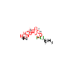 Cl.O.O.O.O.O.O.[BiH3].[Fe]